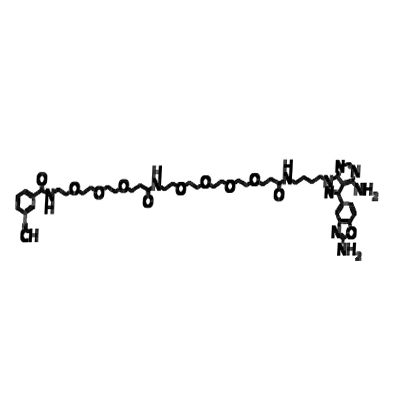 C#Cc1cccc(C(=O)NCCOCCOCCOCCC(=O)NCCOCCOCCOCCOCCC(=O)NCCCCn2nc(-c3ccc4oc(N)nc4c3)c3c(N)ncnc32)c1